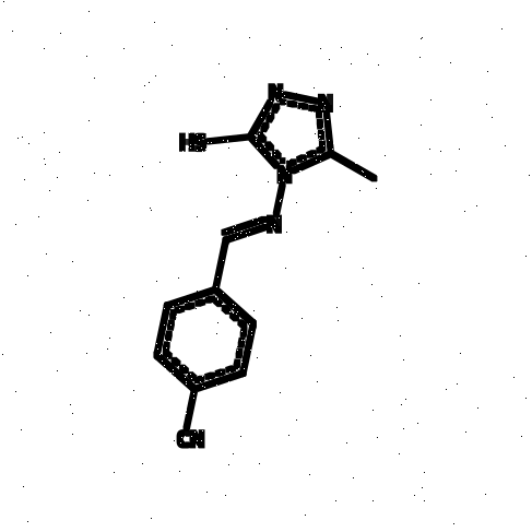 Cc1nnc(S)n1N=Cc1ccc(C#N)cc1